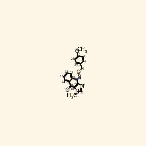 COc1ccc(CO/N=C2\c3ccccc3C(=O)c3c2ncn3C)cc1